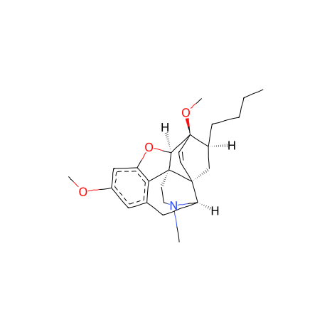 CCCC[C@H]1C[C@@]23C=C[C@]1(OC)[C@@H]1Oc4cc(OC)cc5c4[C@@]12CCN(C)[C@@H]3C5